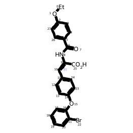 CCOc1ccc(C(=O)N/C(=C/c2ccc(Oc3ccccc3Br)cc2)C(=O)O)cc1